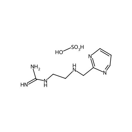 N=C(N)NCCNCc1ncccn1.O=S(=O)(O)O